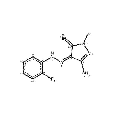 CN1N=C(N)/C(=N/Nc2ccccc2F)C1=N